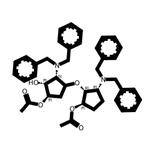 CC(=O)O[C@@H]1CC(O[C@@H]2[C@H](N(Cc3ccccc3)Cc3ccccc3)CC[C@H]2OC(C)=O)[C@@H](N(Cc2ccccc2)Cc2ccccc2)[C@H]1O